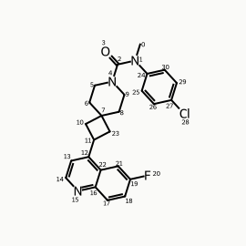 CN(C(=O)N1CCC2(CC1)CC(c1ccnc3ccc(F)cc13)C2)c1ccc(Cl)cc1